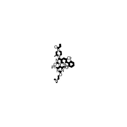 C=CC(=O)N1CCN(c2nc(=O)n(-c3c(C(C)C)nc(OCCN(C)C)nc3C(C)C)c3nc(-c4c(O)cccc4F)c(Cl)cc23)[C@@H](C)C1